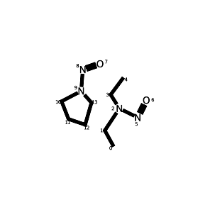 CCN(CC)N=O.O=NN1CCCC1